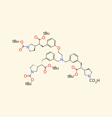 CC(C)(C)OC(=O)[C@@H](Cc1cccc(CN(CCOc2cccc(C[C@H](C(=O)OC(C)(C)C)[C@H]3CCN(C(=O)OC(C)(C)C)C3)c2)Cc2cccc(C[C@H](C(=O)OC(C)(C)C)[C@H]3CCN(C(=O)OC(C)(C)C)C3)c2)c1)[C@H]1CCN(C(=O)O)C1